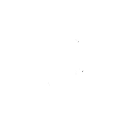 C/C=C1\C(=C(C#N)C#N)c2ccccc2\C1=C\C#N